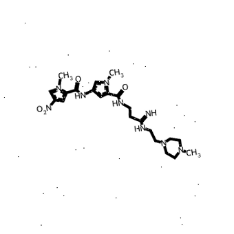 CN1CCN(CCNC(=N)CCNC(=O)c2cc(NC(=O)c3cc([N+](=O)[O-])cn3C)cn2C)CC1